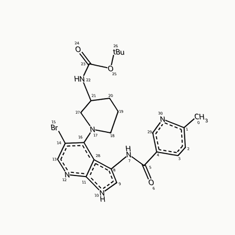 Cc1ccc(C(=O)Nc2c[nH]c3ncc(Br)c(N4CCCC(NC(=O)OC(C)(C)C)C4)c23)cn1